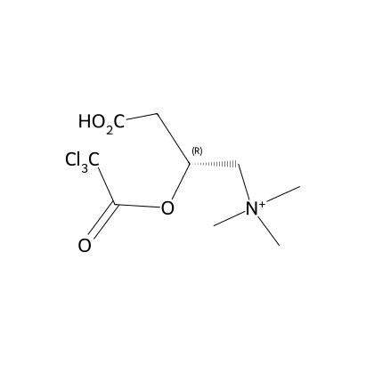 C[N+](C)(C)C[C@@H](CC(=O)O)OC(=O)C(Cl)(Cl)Cl